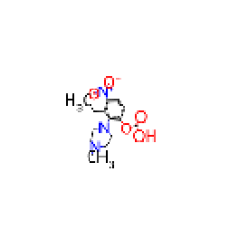 CCc1c([N+](=O)[O-])ccc(OC(=O)O)c1N1CCN(C)CC1